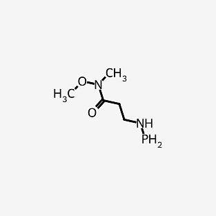 CON(C)C(=O)CCNP